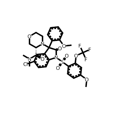 COc1ccc(S(=O)(=O)N2C(=O)C(c3ccccc3OC)(N3CCOC[C@H]3C(=O)N(C)C)c3cc(Cl)ccc32)c(OC(F)(F)F)c1